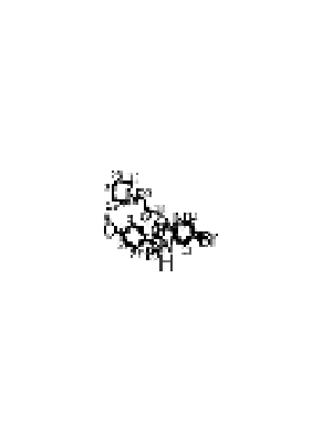 COc1ccc(S(=O)(=O)Nc2cc(Br)cnc2OCCCN2CCCCC2)cc1